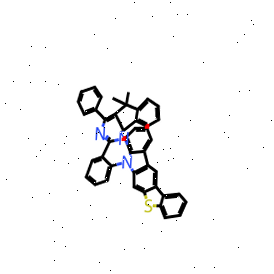 CC1(C)c2ccccc2-c2nc(-c3ccccc3-n3c4ccccc4c4cc5c(cc43)sc3ccccc35)nc(-c3ccccc3)c21